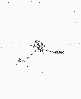 CCCCCCCCCCCCCCCCC=CC(C)(C)C=CCCCCCCCCCCCCCCCC.CN(C)C